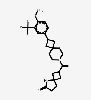 COc1ccc(C2CC3(CCN(C(=O)C4CC5(CCC(=O)N5)C4)CC3)C2)cc1C(F)(F)F